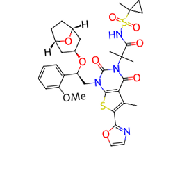 COc1ccccc1[C@H](Cn1c(=O)n(C(C)(C)C(=O)NS(=O)(=O)C2(C)CC2)c(=O)c2c(C)c(-c3ncco3)sc21)O[C@@H]1C[C@H]2CC[C@@H](C1)O2